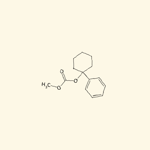 COC(=O)OC1(c2ccccc2)CCCCC1